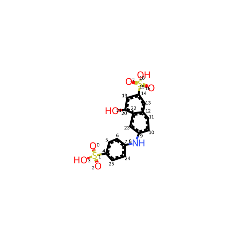 O=S(=O)(O)c1ccc(Nc2ccc3cc(S(=O)(=O)O)cc(O)c3c2)cc1